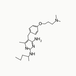 CCCC(C)Nc1nc(C)c(Cc2ccc(OCCCN(C)C)cc2)c(N)n1